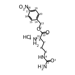 Cl.NC(=O)NCCC[C@H](N)C(=O)OCc1ccc([N+](=O)[O-])cc1